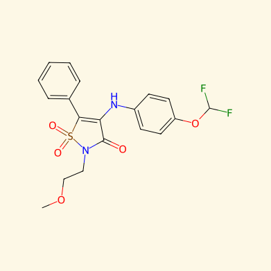 COCCN1C(=O)C(Nc2ccc(OC(F)F)cc2)=C(c2ccccc2)S1(=O)=O